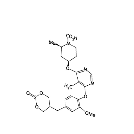 COc1cc(CC2COS(=O)OC2)ccc1Oc1ncnc(O[C@@H]2CCN(C(=O)O)[C@H](C(C)(C)C)C2)c1C